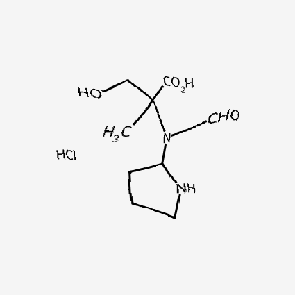 CC(CO)(C(=O)O)N(C=O)C1CCCN1.Cl